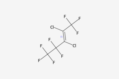 FC(F)(F)/C(Cl)=C(\Cl)C(F)(F)C(F)(F)F